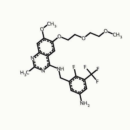 COCCOCCOc1cc2c(NCc3cc(N)cc(C(F)(F)F)c3F)nc(C)nc2cc1OC